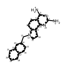 Nc1nc(N)c2ccc3c(ccn3Cc3ccc4ccccc4c3)c2n1